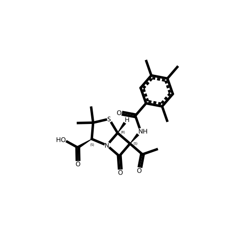 CC(=O)[C@]1(NC(=O)c2cc(C)c(C)cc2C)C(=O)N2[C@@H](C(=O)O)C(C)(C)S[C@@H]21